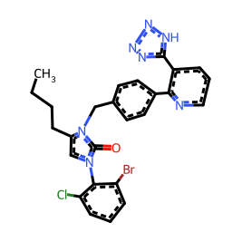 CCCCc1cn(-c2c(Cl)cccc2Br)c(=O)n1Cc1ccc(-c2ncccc2-c2nnn[nH]2)cc1